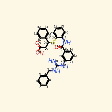 N=C(NCc1ccccc1)Nc1cccc(C(=O)Nc2ccccc2SC(CC(=O)O)c2ccccc2)c1